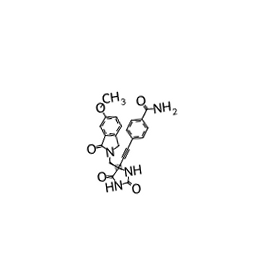 COc1ccc2c(c1)C(=O)N(C[C@@]1(C#Cc3ccc(C(N)=O)cc3)NC(=O)NC1=O)C2